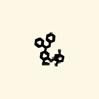 COc1ccc(C(Cc2ccncc2)c2ccccc2)cc1O[C@H]1C[C@@H]2CC[C@H]1C2